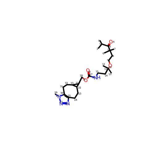 CC(C)C(=O)C(C)(C)CCOC(C)(C)CCNC(=O)OCC1C2CCc3nnn(C)c3CCC21